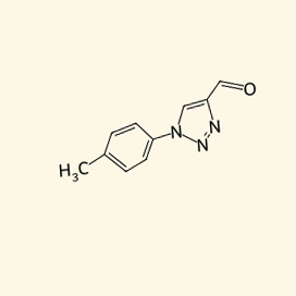 Cc1ccc(-n2cc(C=O)nn2)cc1